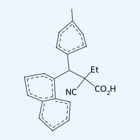 CCC(C#N)(C(=O)O)C(c1ccc(C)cc1)c1cccc2ccccc12